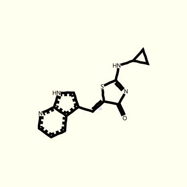 O=C1N=C(NC2CC2)S/C1=C\c1c[nH]c2ncccc12